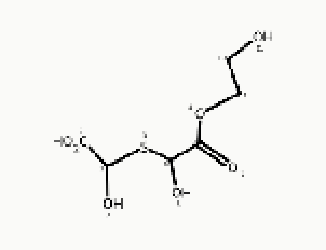 O=C(O)C(O)SC(O)C(=O)OCCO